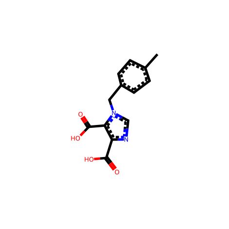 Cc1ccc(Cn2cnc(C(=O)O)c2C(=O)O)cc1